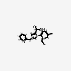 CCN1CC(C)=CC2=C1N1CN(Cc3ccccn3)C=C1C(=O)N2